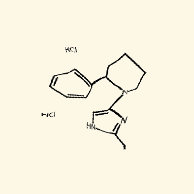 Cc1nc(N2CCCCC2c2ccccc2)c[nH]1.Cl.Cl